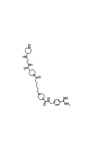 N=C(N)c1ccc(CNC(=O)N2CCN(CCCCCC(=O)N3CCC(C(=O)NCCNC4CCNCC4)CC3)CC2)cc1